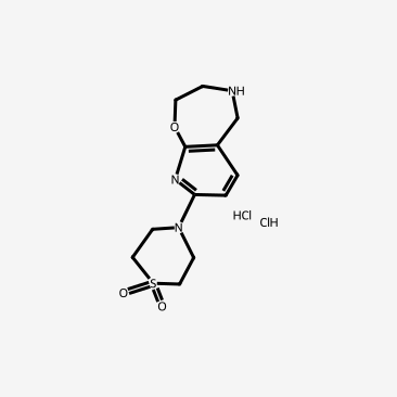 Cl.Cl.O=S1(=O)CCN(c2ccc3c(n2)OCCNC3)CC1